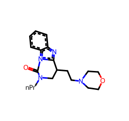 CCCN1CC(CCN2CCOCC2)c2nc3ccccc3n2C1=O